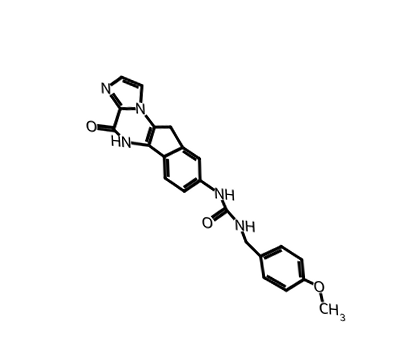 COc1ccc(CNC(=O)Nc2ccc3c(c2)Cc2c-3[nH]c(=O)c3nccn23)cc1